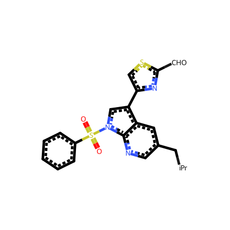 CC(C)Cc1cnc2c(c1)c(-c1csc(C=O)n1)cn2S(=O)(=O)c1ccccc1